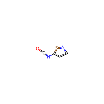 O=C=Nc1ccns1